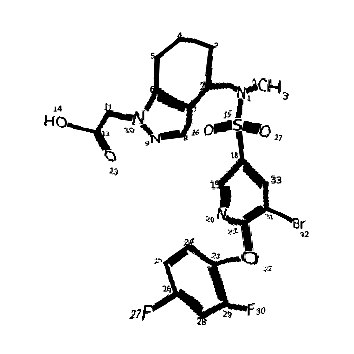 CN(C1CCCc2c1cnn2CC(=O)O)S(=O)(=O)c1cnc(Oc2ccc(F)cc2F)c(Br)c1